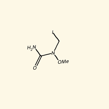 CON(CI)C(N)=O